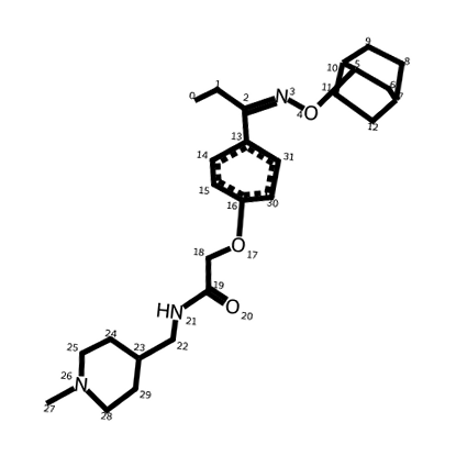 CC/C(=N/OC1CC2CCC1CC2)c1ccc(OCC(=O)NCC2CCN(C)CC2)cc1